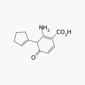 NC1=C(C(=O)O)C=CC(=O)C1C1=CCCC1